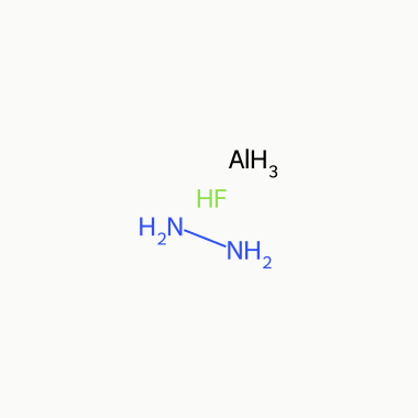 F.NN.[AlH3]